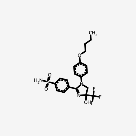 CCCCOc1ccc(N2CC(O)(C(F)(F)F)N=C2c2ccc(S(N)(=O)=O)cc2)cc1